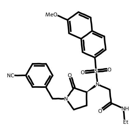 CCNC(=O)CN([C@H]1CCN(Cc2cccc(C#N)c2)C1=O)S(=O)(=O)c1ccc2ccc(OC)cc2c1